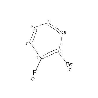 Fc1ccc[c]c1Br